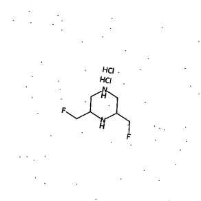 Cl.Cl.FCC1CNCC(CF)N1